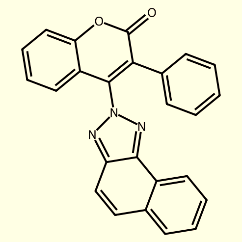 O=c1oc2ccccc2c(-n2nc3ccc4ccccc4c3n2)c1-c1ccccc1